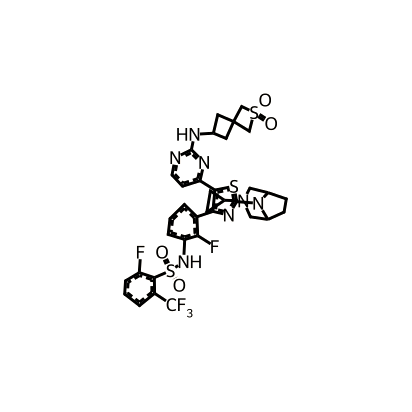 O=S1(=O)CC2(CC(Nc3nccc(-c4sc(N5C6CCC5CN(C5CC5)C6)nc4-c4cccc(NS(=O)(=O)c5c(F)cccc5C(F)(F)F)c4F)n3)C2)C1